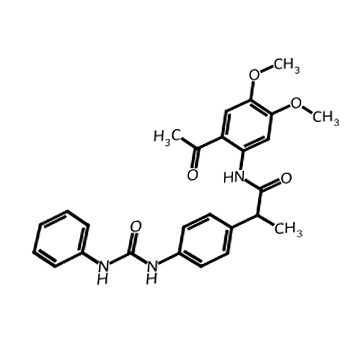 COc1cc(NC(=O)C(C)c2ccc(NC(=O)Nc3ccccc3)cc2)c(C(C)=O)cc1OC